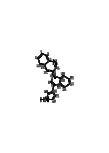 c1ccc2ncc(-n3cc(-c4cc[nH]c4)c4ccccc43)cc2c1